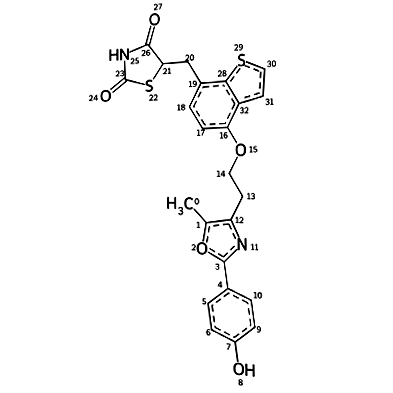 Cc1oc(-c2ccc(O)cc2)nc1CCOc1ccc(CC2SC(=O)NC2=O)c2sccc12